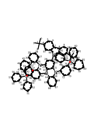 CC(C)(C)c1ccc2c3ccc(C(C)(C)C)cc3n(-c3cc4c5c(c3)N(c3ccccc3-c3ccccc3)c3cc([Si](c6ccccc6)(c6ccccc6)c6ccccc6)ccc3B5c3ccccc3N4c3cccc([Si](c4ccccc4)(c4ccccc4)c4ccccc4)c3)c2c1